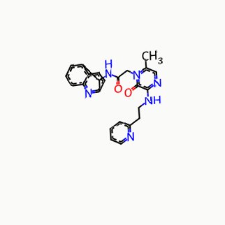 Cc1cnc(NCCc2ccccn2)c(=O)n1CC(=O)NC1c2ccc3c1cccc3n2